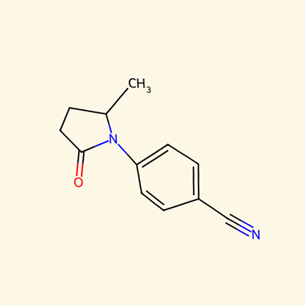 CC1CCC(=O)N1c1ccc(C#N)cc1